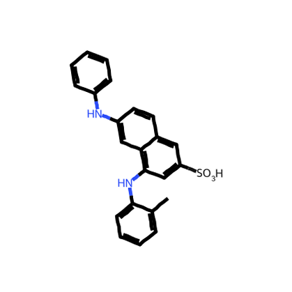 Cc1ccccc1Nc1cc(S(=O)(=O)O)cc2ccc(Nc3ccccc3)cc12